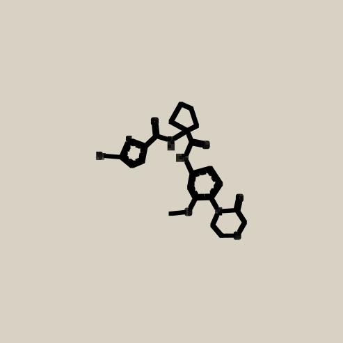 COc1cc(NC(=O)C2(NC(=O)c3ccc(Br)s3)CCCC2)ccc1N1CCOCC1=O